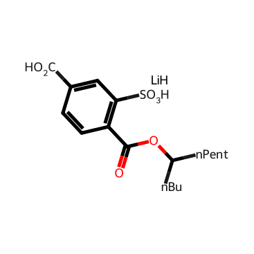 CCCCCC(CCCC)OC(=O)c1ccc(C(=O)O)cc1S(=O)(=O)O.[LiH]